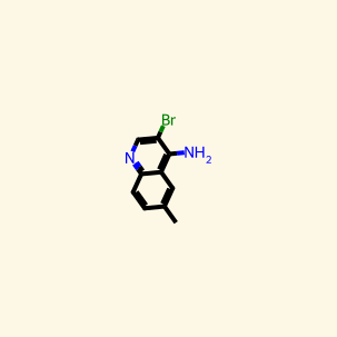 Cc1ccc2ncc(Br)c(N)c2c1